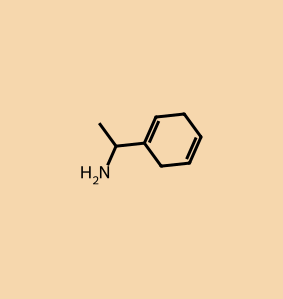 CC(N)C1=CCC=CC1